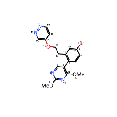 COc1ncc(-c2ccc(Br)cc2CCOc2ccnnc2)c(OC)n1